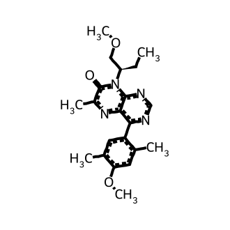 CC[C@H](COC)n1c(=O)c(C)nc2c(-c3cc(C)c(OC)cc3C)ncnc21